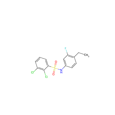 CCc1ccc(NS(=O)(=O)c2cccc(Cl)c2Cl)cc1F